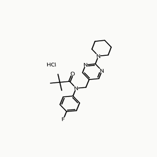 CC(C)(C)C(=O)N(Cc1cnc(N2CCCCC2)nc1)c1ccc(F)cc1.Cl